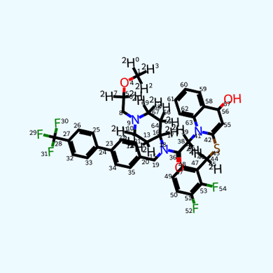 [2H]C([2H])([2H])OC([2H])([2H])CN1C([2H])([2H])C([2H])([2H])C([2H])(N(Cc2ccc(-c3ccc(C(F)(F)F)cc3)cc2)C(=O)C([2H])([2H])N2C(SC([2H])([2H])c3cccc(F)c3F)=CC(O)c3ccccc32)C([2H])([2H])C1([2H])[2H]